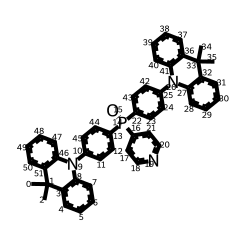 CC1(C)c2ccccc2N(c2ccc(P(=O)(c3ccncc3)c3ccc(N4c5ccccc5C(C)(C)c5ccccc54)cc3)cc2)c2ccccc21